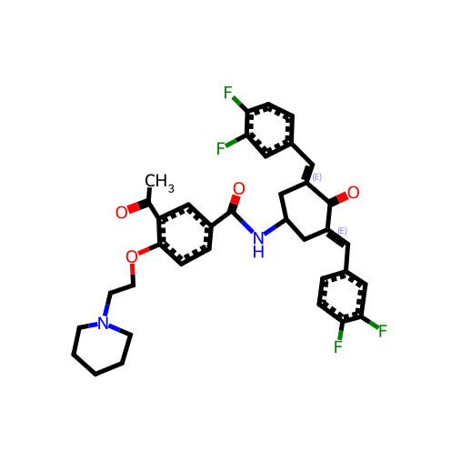 CC(=O)c1cc(C(=O)NC2C/C(=C\c3ccc(F)c(F)c3)C(=O)/C(=C/c3ccc(F)c(F)c3)C2)ccc1OCCN1CCCCC1